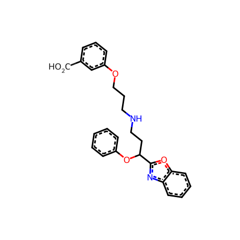 O=C(O)c1cccc(OCCCNCCC(Oc2ccccc2)c2nc3ccccc3o2)c1